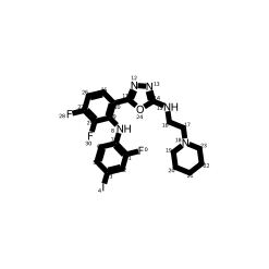 Fc1cc(I)ccc1Nc1c(-c2nnc(NCCN3CCCCC3)o2)ccc(F)c1F